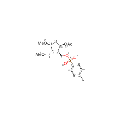 COC[C@H]1[C@H](COS(=O)(=O)c2ccc(C)cc2)[C@H](OC(C)=O)C[C@@H]1OC